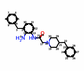 Nc1c(Cc2ccccc2)cccc1NC(=O)CN1CCC(Cc2ccccc2)CC1